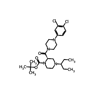 CCC(CC)N1CCN(C(=O)OC(C)(C)C)[C@@H](C(=O)N2CCN(c3ccc(Cl)c(Cl)c3)CC2)C1